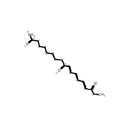 CCC(=O)/C=C/C=C/C=C/C(=O)CCCCCCCC(N)=O